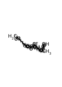 C=CC(=O)OCCCCCCOc1ccc(C(=O)Oc2ccc(N=Nc3ccc(C)c(SOOO)c3)cc2C(F)(F)F)cc1